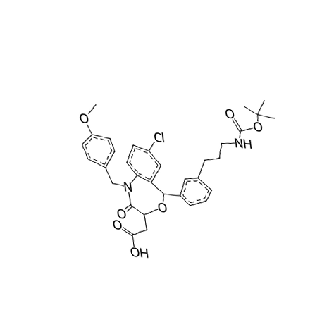 COc1ccc(CN2C(=O)C(CC(=O)O)OC(c3cccc(CCCNC(=O)OC(C)(C)C)c3)c3cc(Cl)ccc32)cc1